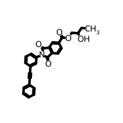 CCC(O)COC(=O)c1ccc2c(c1)C(=O)N(c1cccc(C#Cc3ccccc3)c1)C2=O